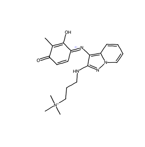 CC1=C(O)/C(=N/c2c(NCCC[N+](C)(C)C)nn3ccccc23)C=CC1=O